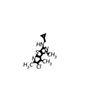 Cc1nc2sc3c(NCC4CC4)nn(C)c3c2c(C)c1Cl